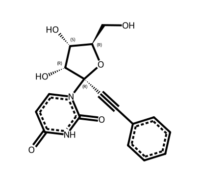 O=c1ccn([C@]2(C#Cc3ccccc3)O[C@H](CO)[C@@H](O)[C@H]2O)c(=O)[nH]1